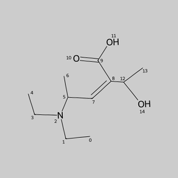 CCN(CC)C(C)C=C(C(=O)O)C(C)O